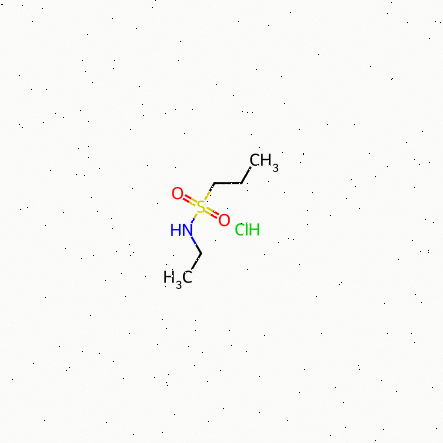 CCCS(=O)(=O)NCC.Cl